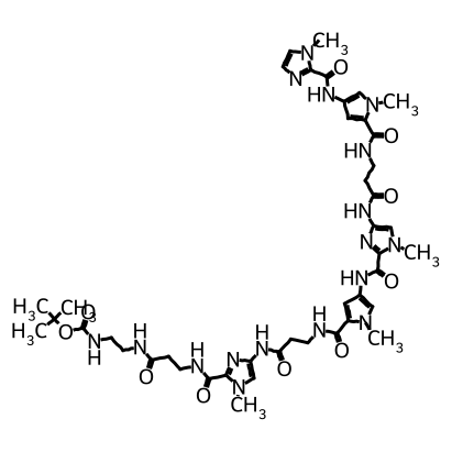 Cn1cc(NC(=O)c2nc(NC(=O)CCNC(=O)c3cc(NC(=O)c4nccn4C)cn3C)cn2C)cc1C(=O)NCCC(=O)Nc1cn(C)c(C(=O)NCCC(=O)NCCNC(=O)OC(C)(C)C)n1